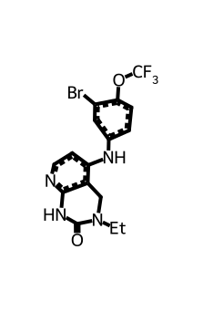 CCN1Cc2c(Nc3ccc(OC(F)(F)F)c(Br)c3)ccnc2NC1=O